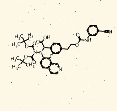 CC(C)(C)OC(=O)N(C(=O)OC(C)(C)C)N(c1ccc2ccncc2c1F)C(C(=O)O)c1ccc(CCOC(=O)Nc2cccc(C#N)c2)cc1